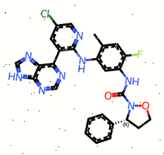 Cc1cc(F)c(NC(=O)N2OCC[C@@H]2c2ccccc2)cc1Nc1ncc(Cl)cc1-c1ncnc2[nH]cnc12